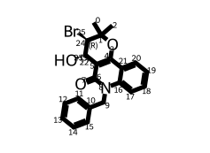 CC1(C)Oc2c(c(=O)n(Cc3ccccc3)c3ccccc23)[C@H](O)[C@H]1Br